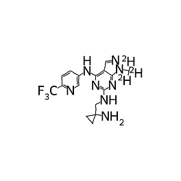 [2H]C([2H])([2H])n1ncc2c(Nc3ccc(C(F)(F)F)nc3)nc(NCC3(N)CC3)nc21